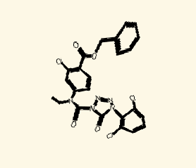 CCN(C(=O)n1nnn(-c2c(Cl)cccc2Cl)c1=O)c1ccc(C(=O)OCc2ccccc2)c(Cl)c1